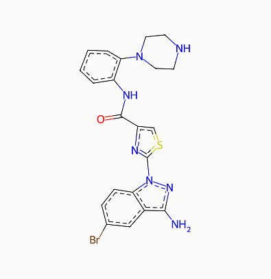 Nc1nn(-c2nc(C(=O)Nc3ccccc3N3CCNCC3)cs2)c2ccc(Br)cc12